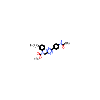 CC(C)(C)OC(=O)N(Cc1nnc(-c2ccc(NC(=O)C(C)(C)C)cc2)nn1)c1cccc(C(=O)O)c1